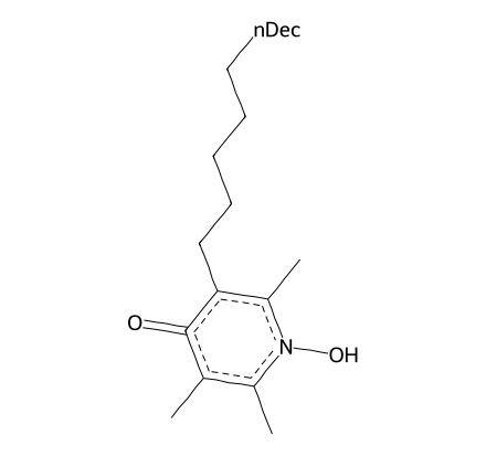 CCCCCCCCCCCCCCCc1c(C)n(O)c(C)c(C)c1=O